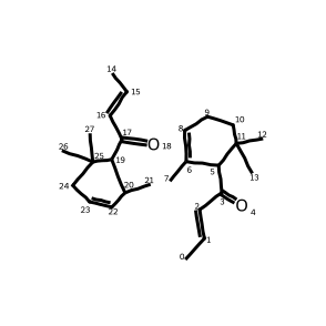 CC=CC(=O)C1C(C)=CCCC1(C)C.CC=CC(=O)C1C(C)C=CCC1(C)C